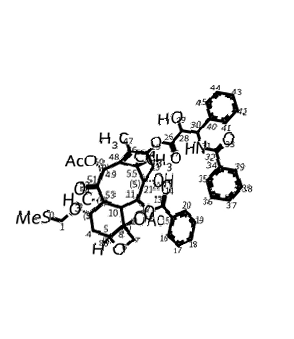 CSCO[C@H]1C[C@H]2OC[C@@]2(OC(C)=O)C2C(OC(=O)c3ccccc3)[C@]3(O)CC(OC(=O)C(O)C(NC(=O)c4ccccc4)c4ccccc4)C(C)=C([C@@H](OC(C)=O)C(=O)[C@@]21C)C3(C)C